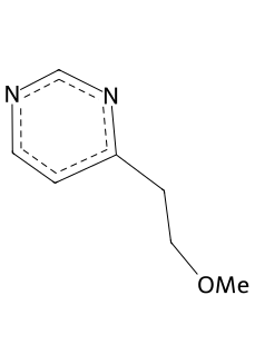 COCCc1ccncn1